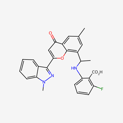 Cc1cc(C(C)Nc2cccc(F)c2C(=O)O)c2oc(-c3nn(C)c4ccccc34)cc(=O)c2c1